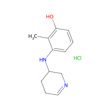 Cc1c(O)cccc1NC1CCC=NC1.Cl